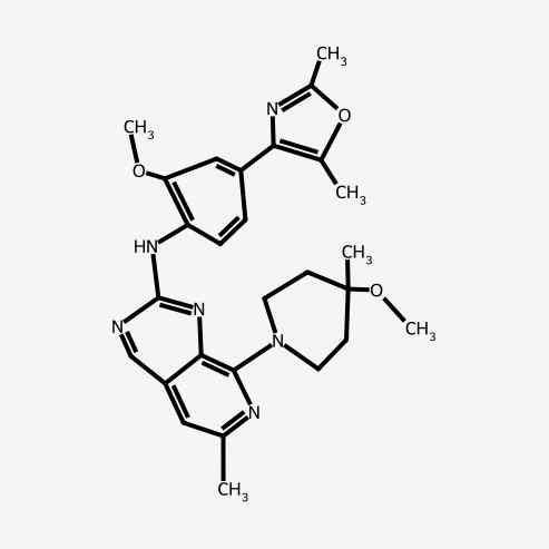 COc1cc(-c2nc(C)oc2C)ccc1Nc1ncc2cc(C)nc(N3CCC(C)(OC)CC3)c2n1